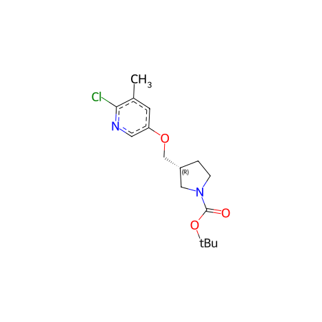 Cc1cc(OC[C@@H]2CCN(C(=O)OC(C)(C)C)C2)cnc1Cl